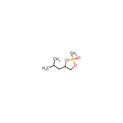 CC(C)CC1COP(C)(=O)O1